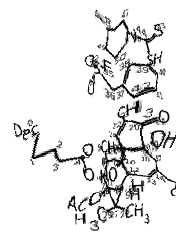 CCCCCCCCCCCCCC(=O)O[C@@H]1[C@@H](C)[C@@]2(O)[C@@H](C=C(CO)C[C@]3(O)C(=O)C(C)=C[C@@H]23)[C@H]2C(C)(C)[C@]12OC(C)=O.O=S(=O)(F)Cc1ccccc1.S=C(S)N1CCCC1